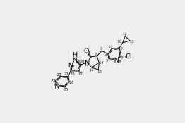 O=C1C(Cc2cnc(Cl)c(C3CC3)c2)C2CC2N1c1cc(-c2ccncc2)n[nH]1